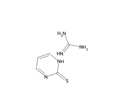 N=C(N)N.S=c1nccc[nH]1